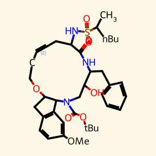 CCCCC(C)S(=O)(=O)NC1C/C=C\CCOC2Cc3ccc(OC)cc3C2N(C(=O)OC(C)(C)C)CC(O)C(Cc2ccccc2)NC1=O